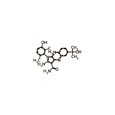 Cc1ccc(O)c(C)c1-n1c(N)c(C(N)=O)c2nc3cc(C(C)(C)O)ccc3nc21